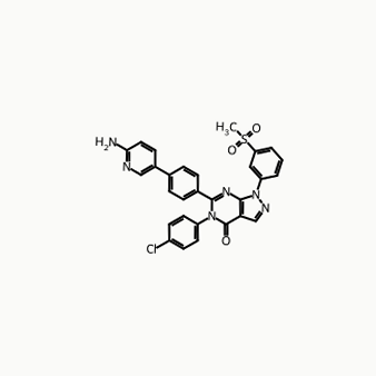 CS(=O)(=O)c1cccc(-n2ncc3c(=O)n(-c4ccc(Cl)cc4)c(-c4ccc(-c5ccc(N)nc5)cc4)nc32)c1